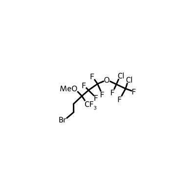 COC(CCBr)(C(F)(F)F)C(F)(F)C(F)(F)OC(F)(Cl)C(F)(F)Cl